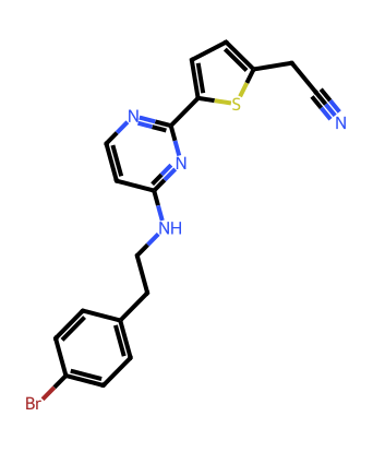 N#CCc1ccc(-c2nccc(NCCc3ccc(Br)cc3)n2)s1